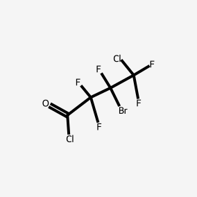 O=C(Cl)C(F)(F)C(F)(Br)C(F)(F)Cl